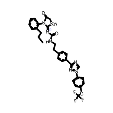 CCCc1ccccc1N1C(=O)CN/C1=N\C(=O)NCCc1ccc(-c2ncn(-c3ccc(OC(F)(F)F)cc3)n2)cc1